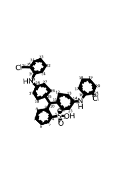 O=S(=O)(O)c1ccccc1C(c1ccc(Nc2ccccc2Cl)cc1)c1ccc(Nc2ccccc2Cl)cc1